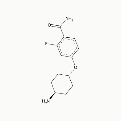 NC(=O)c1ccc(O[C@H]2CC[C@H](N)CC2)cc1F